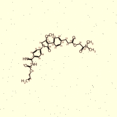 C=CCOC(=O)NC(=N)c1ccc(N2CC(OC)=C(c3ccc(CCC(=O)OCC(=O)N(C)C)cc3)C2=O)cc1